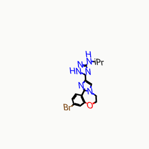 CC(C)Nc1n[nH]c(-c2cn3c(n2)-c2ccc(Br)cc2OCC3)n1